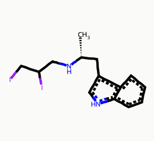 C[C@H](Cc1c[nH]c2ccccc12)NCC(I)CI